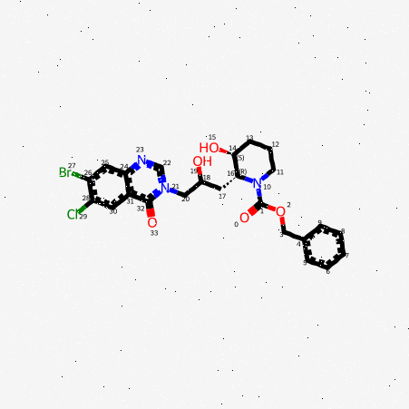 O=C(OCc1ccccc1)N1CCC[C@H](O)[C@H]1CC(O)Cn1cnc2cc(Br)c(Cl)cc2c1=O